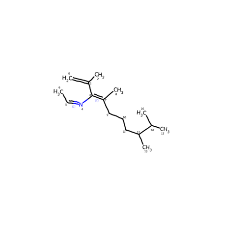 C=C(C)C(/N=C\C)=C(\C)CCCC(C)C(C)C